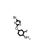 Nc1ccc(Oc2nc(Br)cs2)cc1F